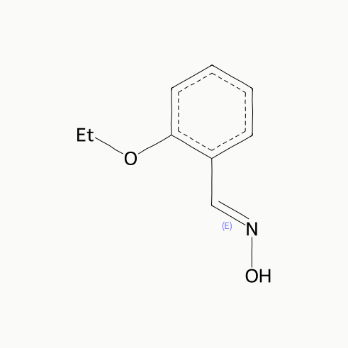 CCOc1ccccc1/C=N/O